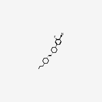 CCC[C@H]1CC[C@H](C=C[C@H]2CC[C@H](c3ccc(C#N)c(F)c3)CC2)CC1